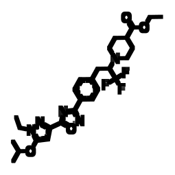 CCOC(=O)C1CCN(C(Cc2ccc(-c3noc(-c4cc(OC(C)C)n(CC)n4)n3)cc2)C(F)(F)F)CC1